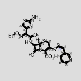 CCON=C(C(=O)NC1C(=O)N2C(C(=O)O)=C(S/C=C\c3cccnc3)CS[C@@H]12)c1csc(N)n1